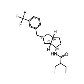 CCC(CC)C(=O)N[C@H]1CC[C@H]2CN(Cc3cccc(C(F)(F)F)c3)C[C@H]21